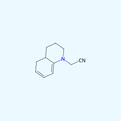 N#CCN1CCCC2CC=CC=C21